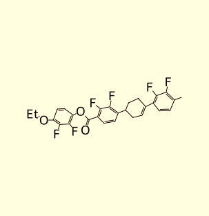 CCOc1ccc(OC(=O)c2ccc(C3CC=C(c4ccc(C)c(F)c4F)CC3)c(F)c2F)c(F)c1F